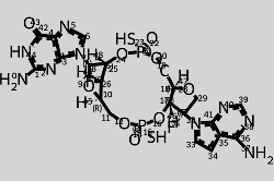 Nc1nc2c(ncn2[C@@H]2O[C@@H]3CO[P@@](=O)(S)O[C@@H]4[C@@H](CO[P@@](=O)(S)O[C@@H]2[C@H]3F)OC[C@@]4(F)n2ccc3c(N)ncnc32)c(=O)[nH]1